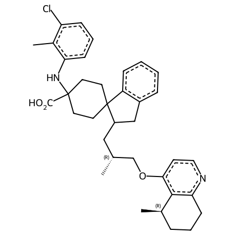 Cc1c(Cl)cccc1NC1(C(=O)O)CCC2(CC1)c1ccccc1CC2C[C@@H](C)COc1ccnc2c1[C@H](C)CCC2